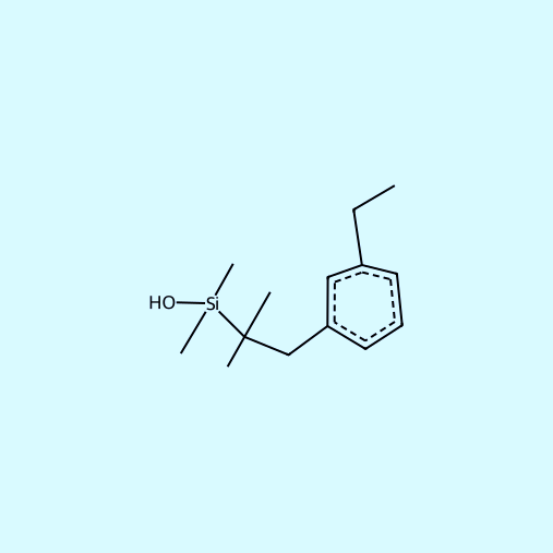 CCc1cccc(CC(C)(C)[Si](C)(C)O)c1